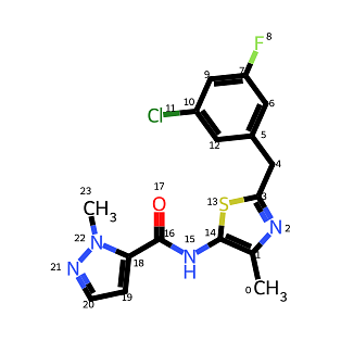 Cc1nc(Cc2cc(F)cc(Cl)c2)sc1NC(=O)c1ccnn1C